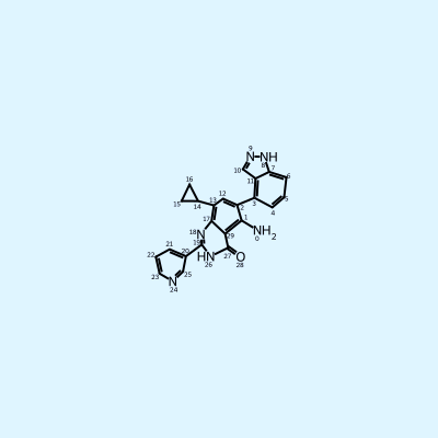 Nc1c(-c2cccc3[nH]ncc23)cc(C2CC2)c2nc(-c3cccnc3)[nH]c(=O)c12